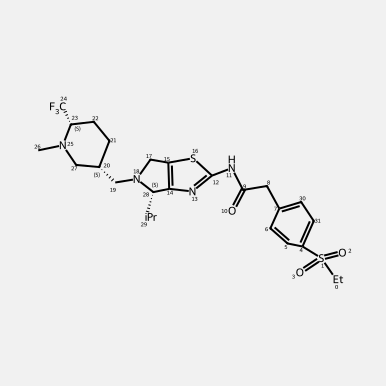 CCS(=O)(=O)c1ccc(CC(=O)Nc2nc3c(s2)CN(C[C@H]2CC[C@@H](C(F)(F)F)N(C)C2)[C@H]3C(C)C)cc1